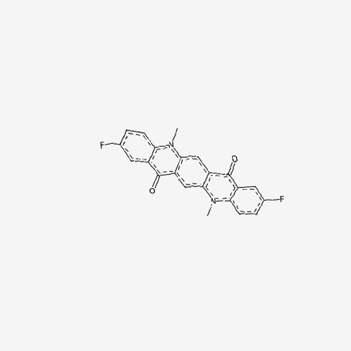 Cn1c2ccc(F)cc2c(=O)c2cc3c(cc21)c(=O)c1cc(F)ccc1n3C